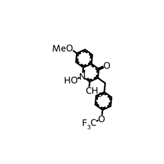 COc1ccc2c(=O)c(Cc3ccc(OC(F)(F)F)cc3)c(C)n(O)c2c1